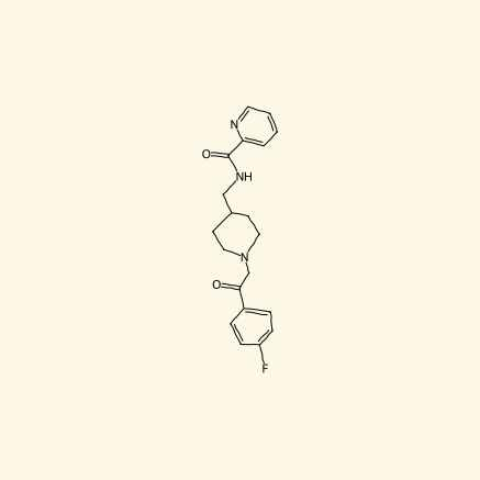 O=C(CN1CCC(CNC(=O)c2ccccn2)CC1)c1ccc(F)cc1